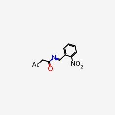 CC(=O)CC(=O)N=Cc1ccccc1[N+](=O)[O-]